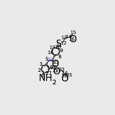 Nc1ccc(/C=C/c2ccc(SCCC3CO3)cc2)c(C(=O)OCC2CO2)c1